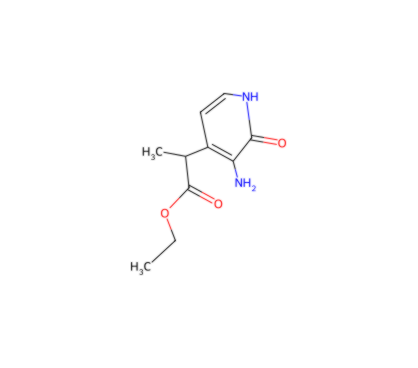 CCOC(=O)C(C)c1cc[nH]c(=O)c1N